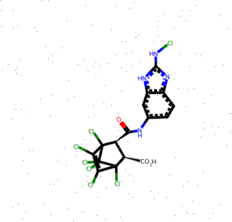 O=C(O)[C@@H]1[C@H](C(=O)Nc2ccc3nc(NCl)[nH]c3c2)C2(Cl)C(Cl)=C(Cl)C1(Cl)C2(Cl)Cl